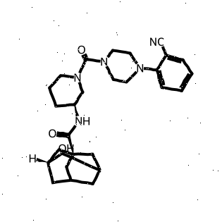 N#Cc1ccccc1N1CCN(C(=O)N2CCC[C@H](NC(=O)[C@]34CC5CC(C3)C(O)[C@H](C5)C4)C2)CC1